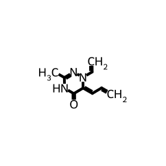 C=C/C=C1/C(=O)NC(C)=NN1C=C